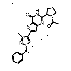 CC(=O)N1CCCC1c1nc2cc(-c3cn(Cc4ccccc4)nc3C)sc2c(=O)[nH]1